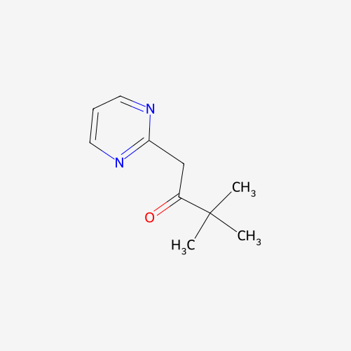 CC(C)(C)C(=O)Cc1ncccn1